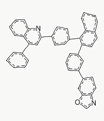 c1ccc(-c2cc(-c3ccc(-c4c(-c5cccc(-c6ccc7ncoc7c6)c5)ccc5ccccc45)cc3)nc3ccccc23)cc1